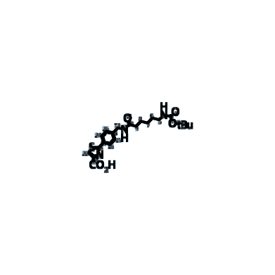 CC(C)(C)OC(=O)NCCCCCC(=O)NCc1ccc(-c2nc(C(=O)O)cs2)cc1